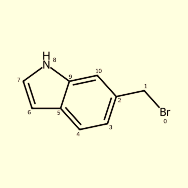 BrCc1ccc2cc[nH]c2c1